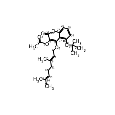 CC(=O)Oc1c(OC/C=C(\C)CCC=C(C)C)c2c(OC(C)(C)C)cccc2oc1=O